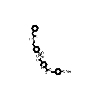 COc1ccc(COC(=O)c2ccc(C(=O)NS(=O)(=O)c3ccc(CCNC(=O)Cc4ccccc4)cc3)cn2)cc1